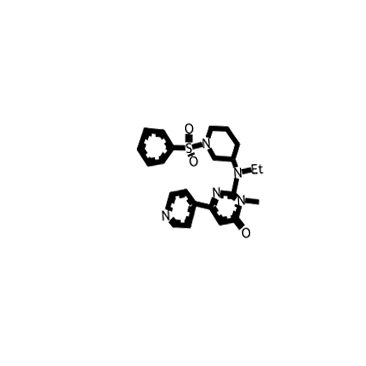 CCN(c1nc(-c2ccncc2)cc(=O)n1C)C1CCCN(S(=O)(=O)c2ccccc2)C1